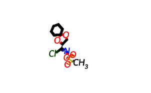 CS(=O)(=O)O/N=C(\Cl)[C@H]1COC2(CCCCC2)O1